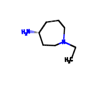 CCN1CCC[C@@H](N)CC1